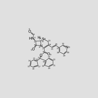 O=CN[C@@H]1C(=O)N2C(C(=O)OC(c3ccccc3)c3ccccc3)=C(/C=C/c3cccnc3)CS[C@H]12